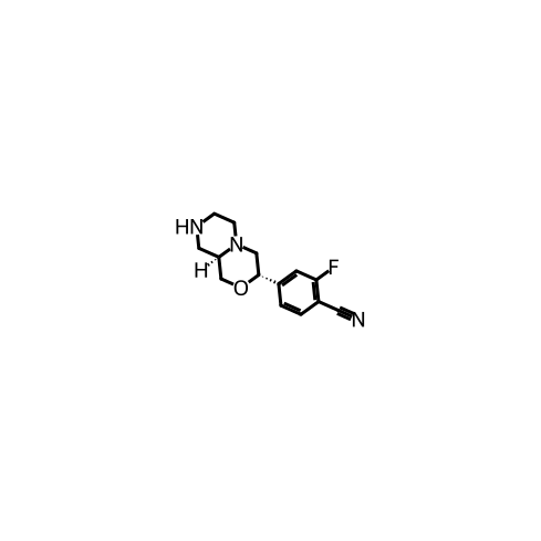 N#Cc1ccc([C@H]2CN3CCNC[C@@H]3CO2)cc1F